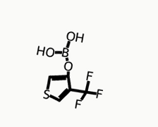 OB(O)Oc1cscc1C(F)(F)F